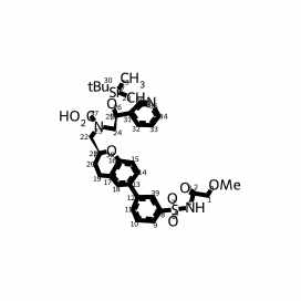 COCC(=O)NS(=O)(=O)c1cccc(-c2ccc3c(c2)CC[C@@H](CN(C[C@@H](O[Si](C)(C)C(C)(C)C)c2cccnc2)C(=O)O)O3)c1